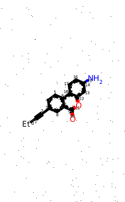 CCC#Cc1ccc2c(c1)c(=O)oc1cc(N)ccc12